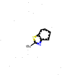 CC(C)(C)c1nc2[c]cccc2s1